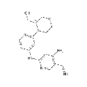 N=Cc1cnc(Nc2cc(N3CCOC[C@H]3CO)ncn2)cc1N